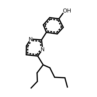 CCCCC(CCC)c1ccnc(-c2ccc(O)cc2)n1